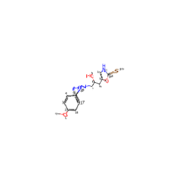 COc1ccc(NCC(O)Cc2c[nH]c(=S)o2)cc1